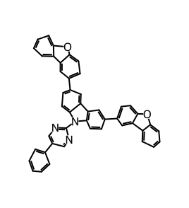 c1ccc(-c2cnc(-n3c4ccc(-c5ccc6oc7ccccc7c6c5)cc4c4cc(-c5ccc6oc7ccccc7c6c5)ccc43)nc2)cc1